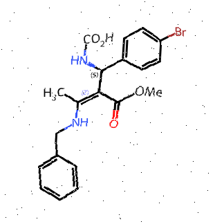 COC(=O)/C(=C(/C)NCc1ccccc1)[C@@H](NC(=O)O)c1ccc(Br)cc1